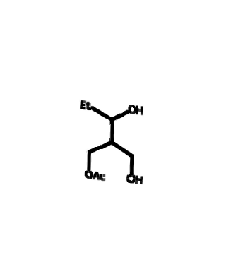 CCC(O)C(CO)COC(C)=O